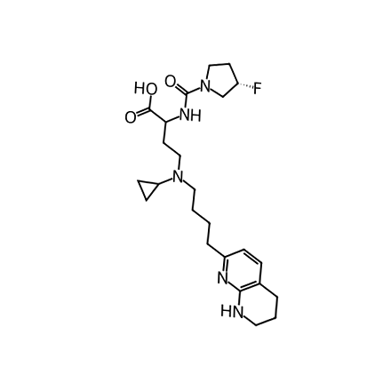 O=C(O)C(CCN(CCCCc1ccc2c(n1)NCCC2)C1CC1)NC(=O)N1CC[C@H](F)C1